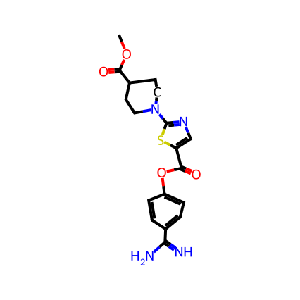 COC(=O)C1CCN(c2ncc(C(=O)Oc3ccc(C(=N)N)cc3)s2)CC1